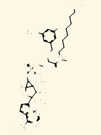 CCCCCCCCCCCCCCCCCCN(C)C(=O)[C@H](COP(=O)(O)OC1[C@H]2O[C@@](C#N)(c3ccc4c(N)ncnn34)[C@H](O)[C@@]12O)OCc1cc(F)cc(C#N)c1